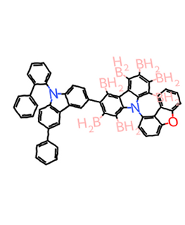 Bc1c(B)c(B)c2c(c1B)c1c(B)c(-c3ccc4c(c3)c3cc(-c5ccccc5)ccc3n4-c3ccccc3-c3ccccc3)c(B)c(B)c1n2-c1cccc2oc3ccccc3c12